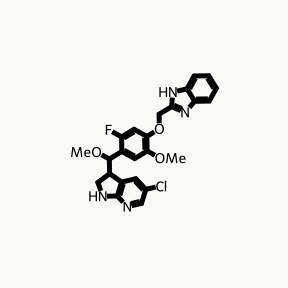 COc1cc(C(OC)C2CNc3ncc(Cl)cc32)c(F)cc1OCc1nc2ccccc2[nH]1